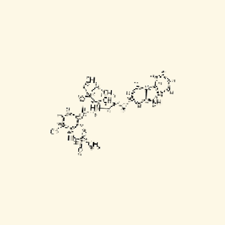 CC[Si](CC)(CC)O[C@H](CNCCOc1ccc2c(c1)[nH]c1ccccc12)c1ccc(Cl)c(NS(C)(=O)=O)c1